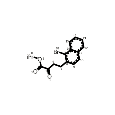 CC(C)OC(=O)C(=O)CCc1ccc2ccccc2c1Br